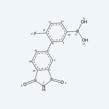 O=C1NC(=O)c2cc(-c3cc(B(O)O)ccc3F)ccc21